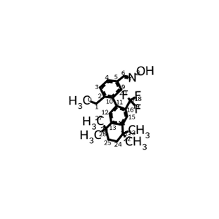 CCc1ccc(C=NO)cc1-c1cc2c(cc1C(F)(F)F)C(C)(C)CCC2(C)C